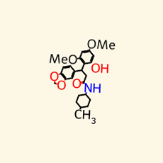 COc1cc(O)c(C(CC(=O)NC2CCC(C)CC2)c2ccc3c(c2)OCO3)c(OC)c1